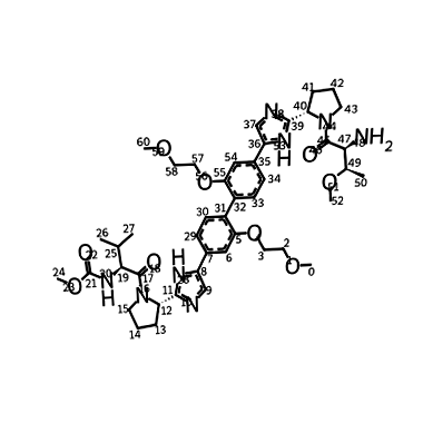 COCCOc1cc(-c2cnc([C@@H]3CCCN3C(=O)[C@@H](NC(=O)OC)C(C)C)[nH]2)ccc1-c1ccc(-c2cnc([C@@H]3CCCN3C(=O)[C@@H](N)[C@@H](C)OC)[nH]2)cc1OCCOC